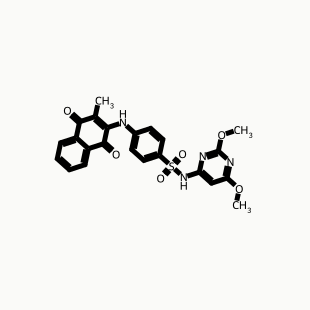 COc1cc(NS(=O)(=O)c2ccc(NC3=C(C)C(=O)c4ccccc4C3=O)cc2)nc(OC)n1